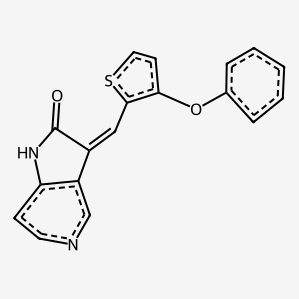 O=C1Nc2ccncc2C1=Cc1sccc1Oc1ccccc1